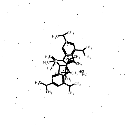 CC(C)c1cc(C(C)C)c2c(c1)[CH]([Ti]([CH3])([CH3])(=[SiH2])[CH]1C(C(C)(C)C)=Cc3c(C(C)C)cc(C(C)C)cc31)C(C(C)(C)C)=C2.Cl.Cl